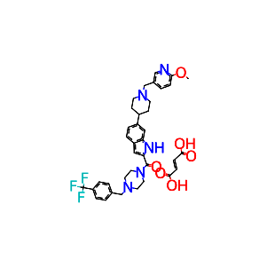 COc1ccc(CN2CCC(c3ccc4cc(C(=O)N5CCN(Cc6ccc(C(F)(F)F)cc6)CC5)[nH]c4c3)CC2)cn1.O=C(O)C=CC(=O)O